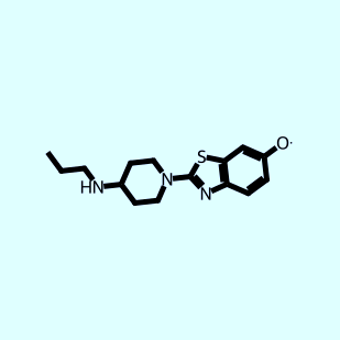 CCCNC1CCN(c2nc3ccc([O])cc3s2)CC1